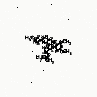 COc1cc(OC)c(F)c(N(Cc2nccn2SN(C)C)c2ncc3ncc(-c4cnn(C)c4)nc3n2)c1F